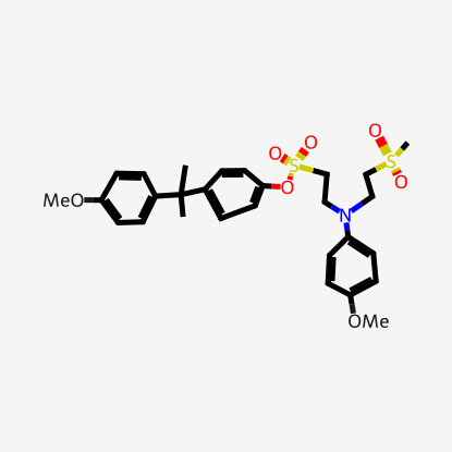 COc1ccc(N(CCS(C)(=O)=O)CCS(=O)(=O)Oc2ccc(C(C)(C)c3ccc(OC)cc3)cc2)cc1